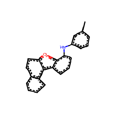 Cc1cccc(Nc2cccc3c2oc2ccc4ccccc4c23)c1